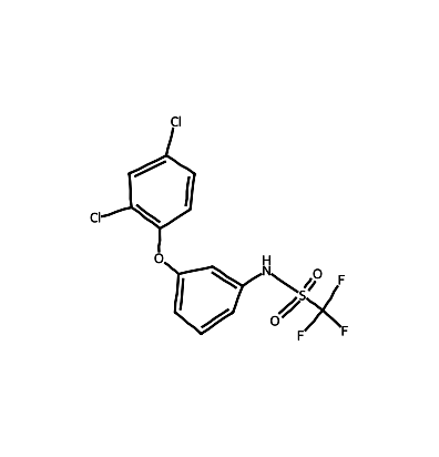 O=S(=O)(Nc1cccc(Oc2ccc(Cl)cc2Cl)c1)C(F)(F)F